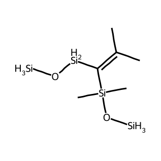 CC(C)=C([SiH2]O[SiH3])[Si](C)(C)O[SiH3]